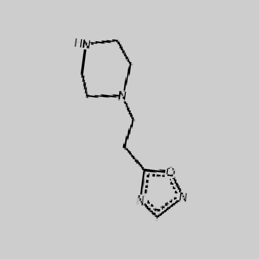 [c]1noc(CCN2CCNCC2)n1